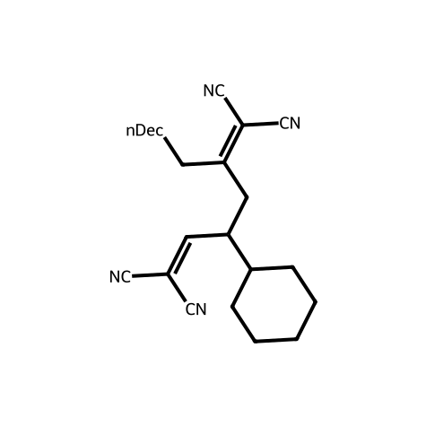 CCCCCCCCCCCC(CC(C=C(C#N)C#N)C1CCCCC1)=C(C#N)C#N